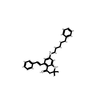 CC1(C)CC(=O)c2c(C=Cc3ccccc3)cc(OCCCCCc3ccccc3)cc2O1